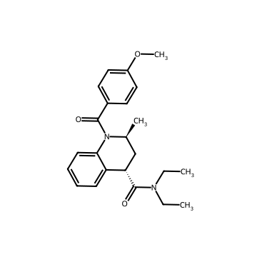 CCN(CC)C(=O)[C@H]1C[C@H](C)N(C(=O)c2ccc(OC)cc2)c2ccccc21